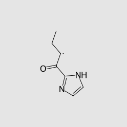 CC[CH]C(=O)c1ncc[nH]1